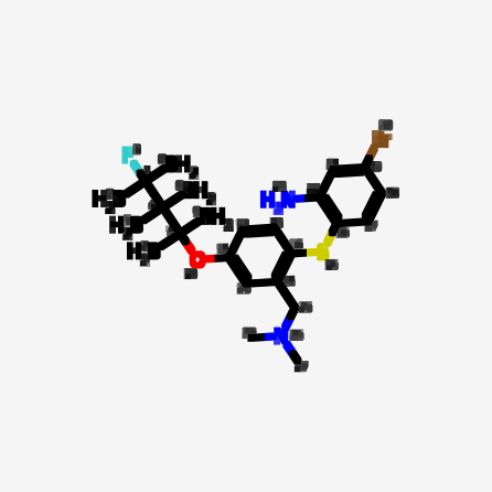 BC(B)(F)C(B)(B)C(B)(B)Oc1ccc(Sc2ccc(Br)cc2N)c(CN(C)C)c1